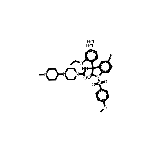 CCOc1ccccc1C1(NC(=O)N2CCN(C3CCN(C)CC3)CC2)C(=O)N(S(=O)(=O)c2ccc(OC)cc2)c2ccc(F)cc21.Cl.Cl